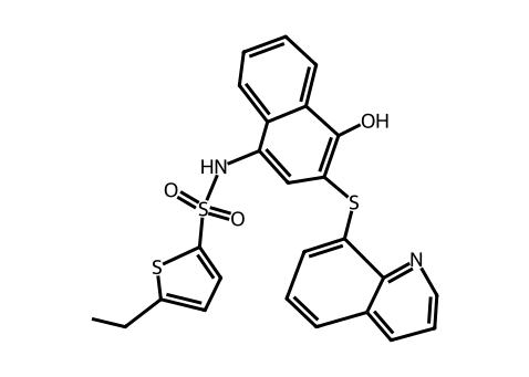 CCc1ccc(S(=O)(=O)Nc2cc(Sc3cccc4cccnc34)c(O)c3ccccc23)s1